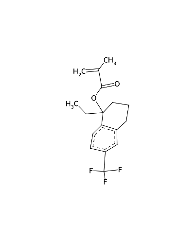 C=C(C)C(=O)OC1(CC)CCCc2cc(C(F)(F)F)ccc21